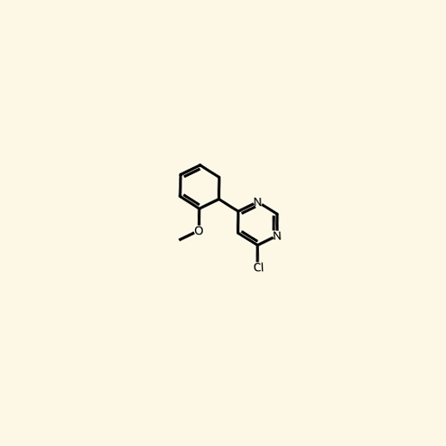 COC1=CC=CCC1c1cc(Cl)ncn1